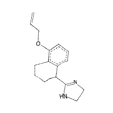 C=CCOc1cccc2c1CCCC2C1=NCCN1